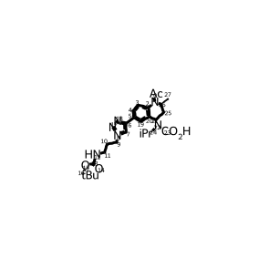 CC(=O)N1c2ccc(-c3cn(CCCNC(=O)OC(C)(C)C)nn3)cc2[C@H](N(C(=O)O)C(C)C)C[C@@H]1C